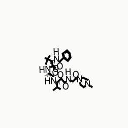 CC(C)[C@H](NC(=O)[C@H](C)NC(=O)[C@@H](NC(=O)c1ccccc1)C(C)(C)C)C(=O)C(=O)NCC(=O)N1CCN(C)CC1